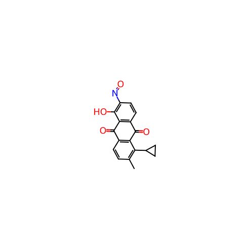 Cc1ccc2c(c1C1CC1)C(=O)c1ccc(N=O)c(O)c1C2=O